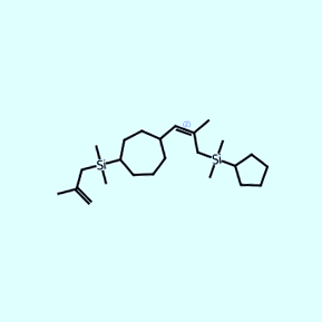 C=C(C)C[Si](C)(C)C1CCCC(/C=C(/C)C[Si](C)(C)C2CCCC2)CC1